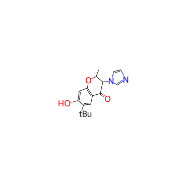 CC1Oc2cc(O)c(C(C)(C)C)cc2C(=O)C1n1ccnc1